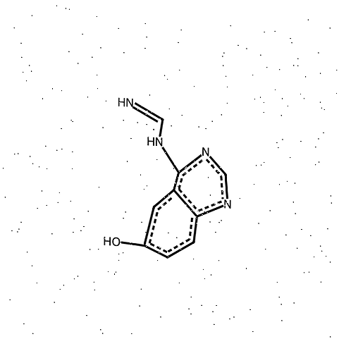 N=CNc1ncnc2ccc(O)cc12